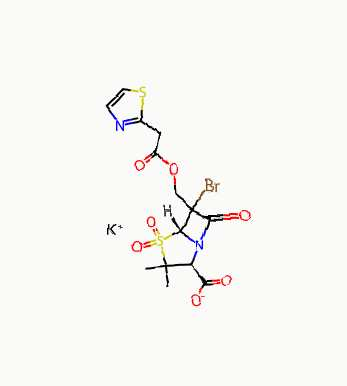 CC1(C)[C@H](C(=O)[O-])N2C(=O)C(Br)(COC(=O)Cc3nccs3)[C@H]2S1(=O)=O.[K+]